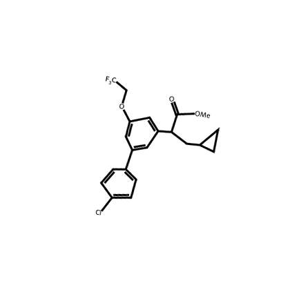 COC(=O)C(CC1CC1)c1cc(OCC(F)(F)F)cc(-c2ccc(Cl)cc2)c1